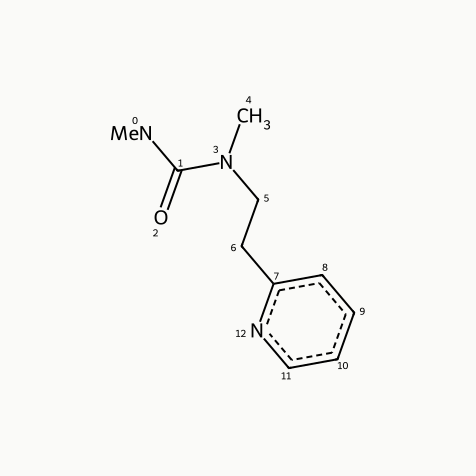 CNC(=O)N(C)CCc1ccccn1